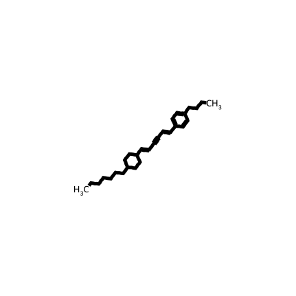 CCCCCCCC1CCC(C=CC#CC=Cc2ccc(CCCC)cc2)CC1